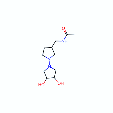 CC(=O)NCC1CCN(N2CC(O)C(O)C2)C1